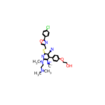 [C-]#[N+]c1c(N(C)CCN(C)C)nc(SCc2coc(-c3ccc(Cl)cc3)n2)c(C#N)c1-c1ccc(OCCO)cc1